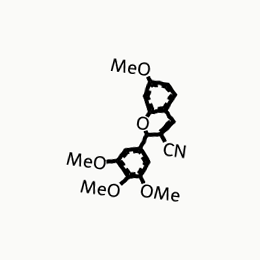 COc1ccc2c(c1)OC(c1cc(OC)c(OC)c(OC)c1)C(C#N)=C2